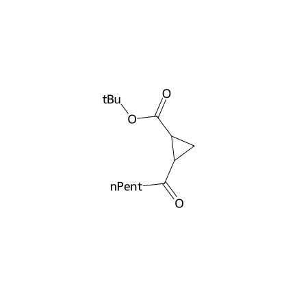 CCCCCC(=O)C1CC1C(=O)OC(C)(C)C